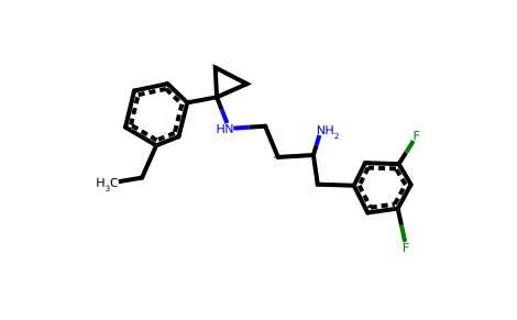 CCc1cccc(C2(NC[CH]C(N)Cc3cc(F)cc(F)c3)CC2)c1